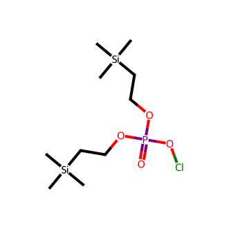 C[Si](C)(C)CCOP(=O)(OCl)OCC[Si](C)(C)C